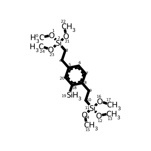 CO[Si](CCc1ccc(CC[Si](OC)(OC)OC)c([SiH3])c1)(OC)OC